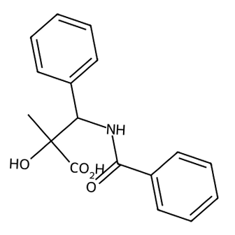 CC(O)(C(=O)O)C(NC(=O)c1ccccc1)c1ccccc1